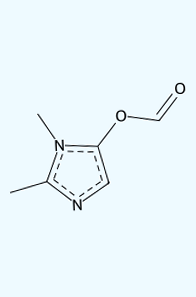 Cc1ncc(OC=O)n1C